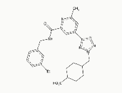 CCc1cccc(CNC(=O)c2cc(-c3nnn(CC4CCC(C(=O)O)CC4)n3)cc(C)n2)c1